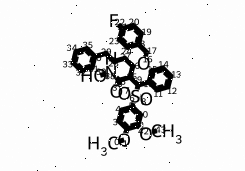 COc1ccc(S(=O)(=O)C(c2ccccc2OCc2ccc(F)cc2)C(CCCCc2ccccc2)C(=O)NO)cc1OC